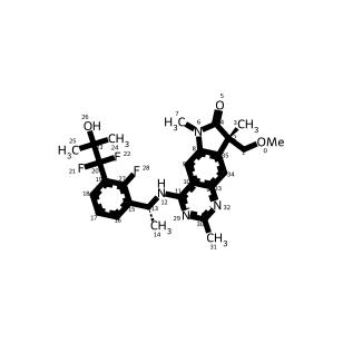 COC[C@@]1(C)C(=O)N(C)c2cc3c(N[C@H](C)c4cccc(C(F)(F)C(C)(C)O)c4F)nc(C)nc3cc21